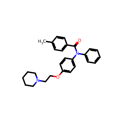 Cc1ccc(C(=O)N(c2ccccc2)c2ccc(OCCN3CCCCC3)cc2)cc1